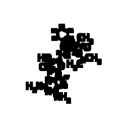 CC(C)OC(=O)C(C)NP(=S)(OC[C@H]1O[C@@H](n2cnc3c(N)nc(N)nc32)[C@](F)(Cl)[C@@H]1O)Oc1ccccc1